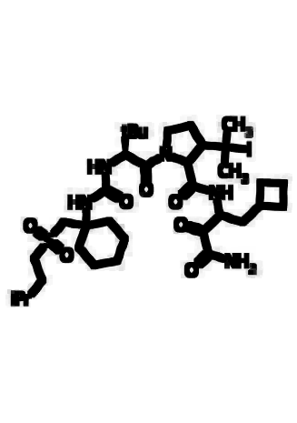 CC(C)CCS(=O)(=O)CC1(NC(=O)N[C@H](C(=O)N2CCC(C(C)(C)I)C2C(=O)NC(CC2CCC2)C(=O)C(N)=O)C(C)(C)C)CCCCC1